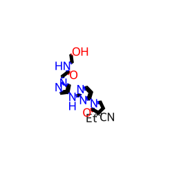 CC[C@]1(C#N)CCN(c2ccnc(Nc3cnn(CC(=O)NCCO)c3)n2)C1=O